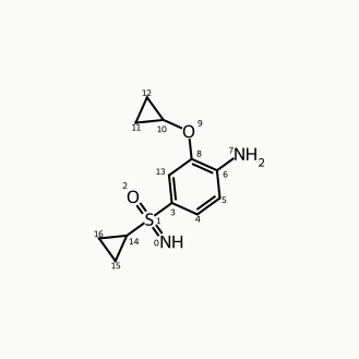 N=S(=O)(c1ccc(N)c(OC2CC2)c1)C1CC1